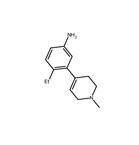 CCc1ccc(N)cc1C1=CCN(C)CC1